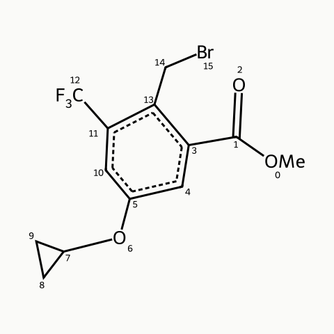 COC(=O)c1cc(OC2CC2)cc(C(F)(F)F)c1CBr